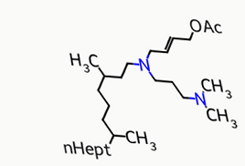 CCCCCCCC(C)CCCC(C)CCN(CC=CCOC(C)=O)CCCN(C)C